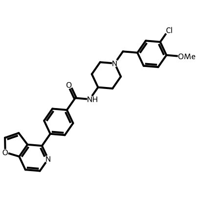 COc1ccc(CN2CCC(NC(=O)c3ccc(-c4nccc5occc45)cc3)CC2)cc1Cl